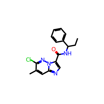 CCC(NC(=O)c1cnc2cc(C)c(Cl)nn12)c1ccccc1